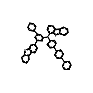 c1ccc(-c2ccc(-c3ccc(N(c4cc(-c5ccccc5)cc(-c5ccc6c(c5)oc5ccccc56)c4)c4cccc5c4sc4ccccc45)cc3)cc2)cc1